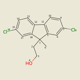 CC1(CCO)c2cc(Cl)ccc2-c2ccc(Cl)cc21